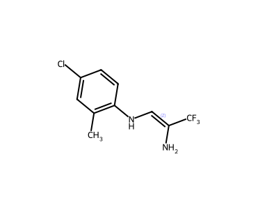 Cc1cc(Cl)ccc1N/C=C(\N)C(F)(F)F